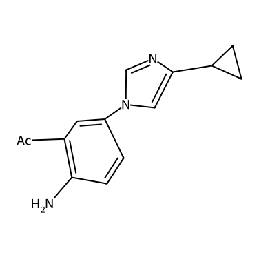 CC(=O)c1cc(-n2cnc(C3CC3)c2)ccc1N